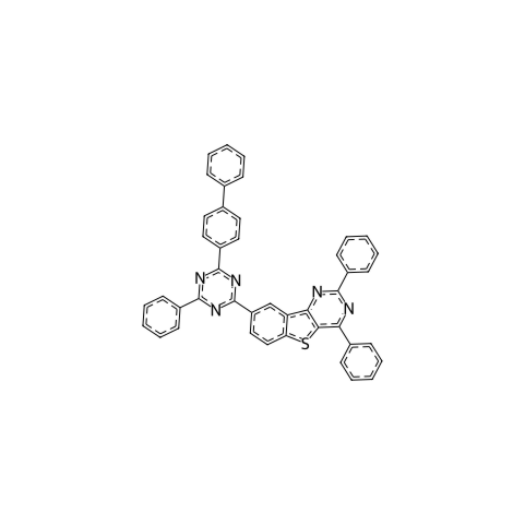 c1ccc(-c2ccc(-c3nc(-c4ccccc4)nc(-c4ccc5sc6c(-c7ccccc7)nc(-c7ccccc7)nc6c5c4)n3)cc2)cc1